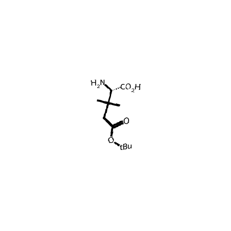 CC(C)(C)OC(=O)CC(C)(C)[C@H](N)C(=O)O